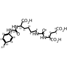 O=C(O)CCC(NC(=O)NCCCCC(NC(=O)Nc1ccc(I)cc1)C(=O)O)C(=O)O